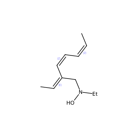 C\C=C/C=C\C(=C/C)CN(O)CC